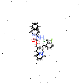 C[As](Cc1cccc(F)c1Cl)[C@H](COC(=O)Nc1cc2ccccc2cn1)Cc1ccccn1